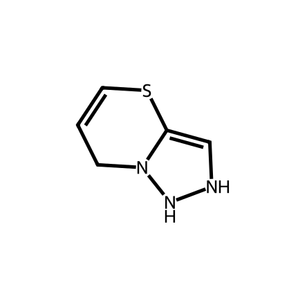 C1=CSC2=CNNN2C1